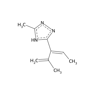 C=C(C)/C(=C\C)c1nnc(C)[nH]1